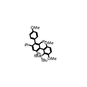 COc1ccc(-c2c(C(C)C)cc(C(C)C)c(-c3c(OC)ccc(OC)c3P(C(C)(C)C)C(C)(C)C)c2C(C)C)cc1